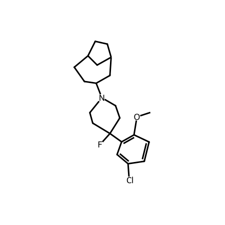 COc1ccc(Cl)cc1C1(F)CCN(C2CCC3CCC(C3)C2)CC1